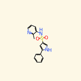 Cc1ncccc1NS(=O)(=O)c1c[nH]c(-c2ccccc2)c1